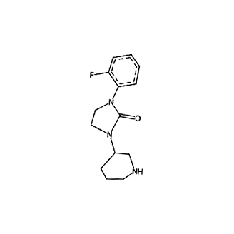 O=C1N(c2ccccc2F)CCN1C1CCCNC1